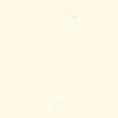 NCCCOCCCN.OCCOCCOCCO